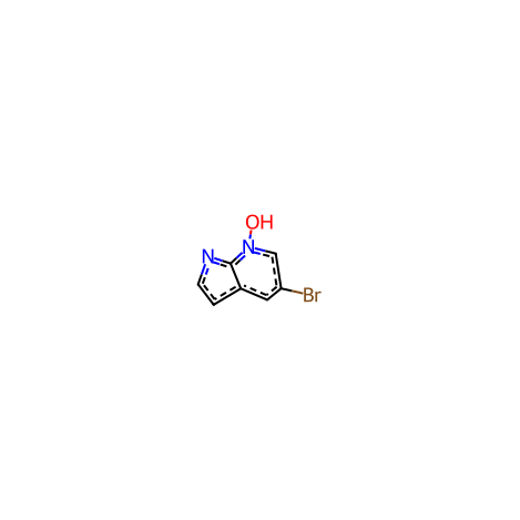 On1cc(Br)cc2ccnc1-2